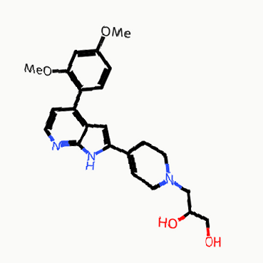 COc1ccc(-c2ccnc3[nH]c(C4=CCN(CC(O)CO)CC4)cc23)c(OC)c1